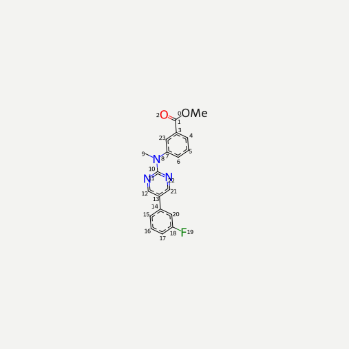 COC(=O)c1cccc(N(C)c2ncc(-c3cccc(F)c3)cn2)c1